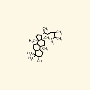 CC(C)C(C)CCC(C)[C@H]1CC[C@]2(C)C3CCC4C(C)(C)[C@@H](O)CC[C@]4(C)C3CC[C@]12C